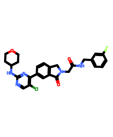 O=C(CN1Cc2ccc(-c3nc(NC4CCOCC4)ncc3Cl)cc2C1=O)NCc1cccc(F)c1